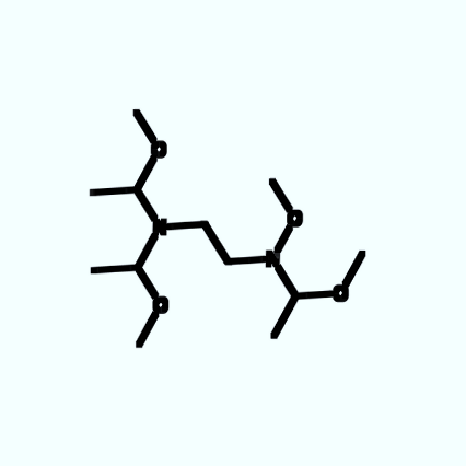 COC(C)N(CCN(C(C)OC)C(C)OC)OC